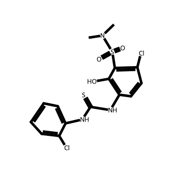 CN(C)S(=O)(=O)c1c(Cl)ccc(NC(=S)Nc2ccccc2Cl)c1O